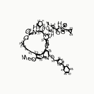 C=C[C@@H]1C[C@]1(NC(=O)[C@@H]1C[C@@H]2CN1C(=O)[C@H](C1CCCC1)NC(=O)OCC(C)(C)CCCc1cc3c(cc(OCc4csc(-c5ccccc5)n4)nc3cc1OC)O2)C(=O)NS(=O)(=O)C1CC1